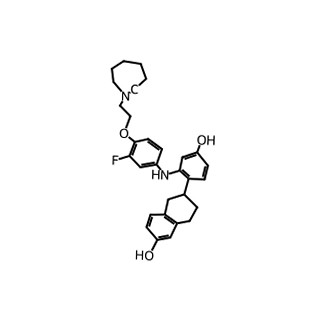 Oc1ccc2c(c1)CCC(c1ccc(O)cc1Nc1ccc(OCCN3CCCCCC3)c(F)c1)C2